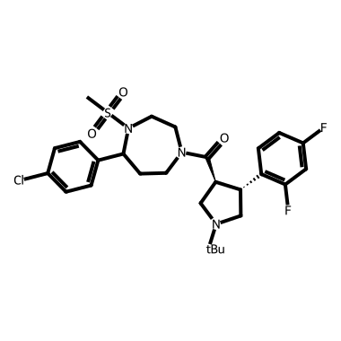 CC(C)(C)N1C[C@@H](C(=O)N2CCC(c3ccc(Cl)cc3)N(S(C)(=O)=O)CC2)[C@H](c2ccc(F)cc2F)C1